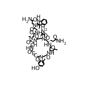 CC[C@H](C)[C@@H]1NC(=O)[C@H](Cc2ccc(O)cc2)NC(=O)CCC(=O)NC[C@@H](C(=O)N(C)CC(=O)N[C@@H](Cc2c[nH]c3ccccc23)C(=O)NCC(N)=O)NC(=O)[C@H](CC(N)=O)NC(=O)[C@H](CCC(N)=O)NC1=O